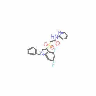 O=C(CS(=O)(=O)c1cn(Cc2ccccc2)c2cc(F)cc(F)c12)Nc1ccccn1